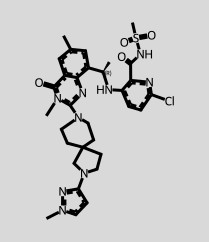 Cc1cc([C@@H](C)Nc2ccc(Cl)nc2C(=O)NS(C)(=O)=O)c2nc(N3CCC4(CCN(c5ccn(C)n5)C4)CC3)n(C)c(=O)c2c1